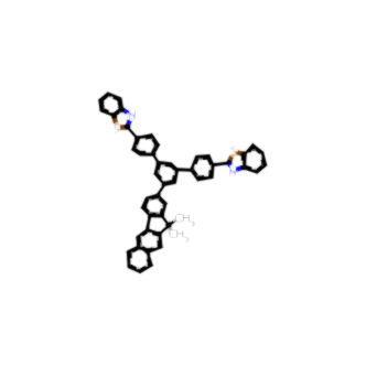 CC1(C)c2cc(-c3cc(-c4ccc(-c5nc6ccccc6s5)cc4)cc(-c4ccc(-c5nc6ccccc6s5)cc4)c3)ccc2-c2cc3ccccc3cc21